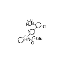 CC(C)(C)OC(=O)NC(Cc1ccccc1)c1ccc(-c2cc(Cl)ccc2-n2cnnn2)cn1